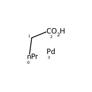 CCCCC(=O)O.[Pd]